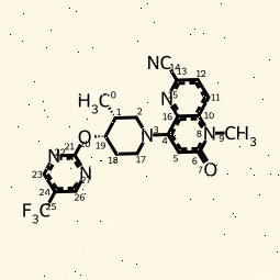 C[C@@H]1CN(c2cc(=O)n(C)c3ccc(C#N)nc23)CC[C@@H]1Oc1ncc(C(F)(F)F)cn1